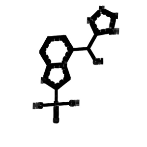 O=P(O)(O)c1cn2c(C(O)c3nnn[nH]3)cccc2n1